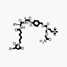 CC(C)C1CC(=O)N(CCCCCC(=O)N[C@H](C(=O)N[C@@H](C)C(=O)Nc2ccc(COC(=O)N(CCS(C)(=O)=O)COCC(N)=O)cc2)C(C)C)C1=O